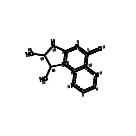 O=c1nc2n(c3nccnc13)C(O)C(O)N2